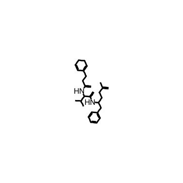 C=C(C)CCC(Cc1ccccc1)NC(=C)C(NC(=C)CCC1=CCCC=C1)C(C)C